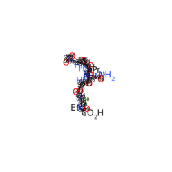 CCn1cc(C(=O)O)c(=O)c2cc(F)c(N3CCN(C(=O)OCc4ccc(NC(=O)[C@H](CCCNC(N)=O)c5nnc([C@@H](NC(=O)[C@H](CC(C)C)NC(=O)CCCCCN6C(=O)CCC6=O)C(C)C)o5)cc4)CC3)cc21